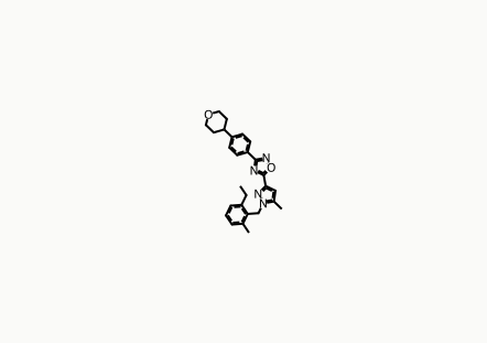 CCc1cccc(C)c1Cn1nc(-c2nc(-c3ccc(C4CCOCC4)cc3)no2)cc1C